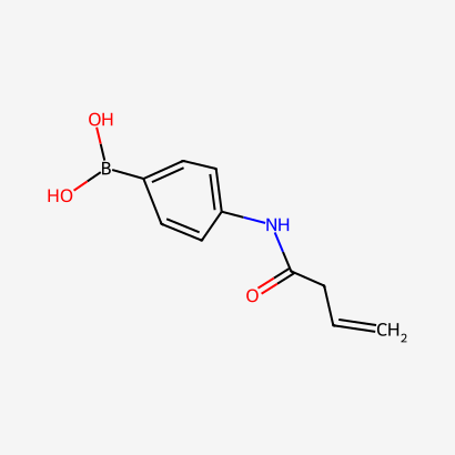 C=CCC(=O)Nc1ccc(B(O)O)cc1